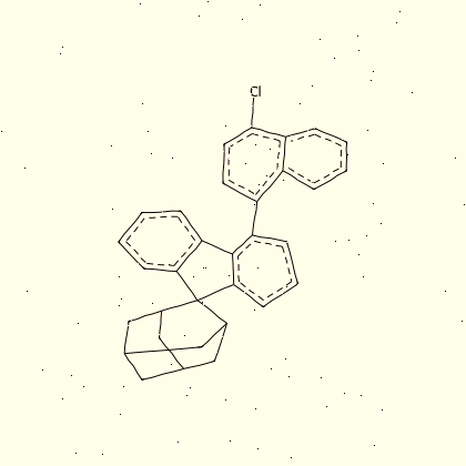 Clc1ccc(-c2cccc3c2-c2ccccc2C32C3CC4CC(C3)CC2C4)c2ccccc12